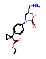 CCOC(=O)C1(c2ccc(N3CC(CN)OC3=O)cc2)CC1